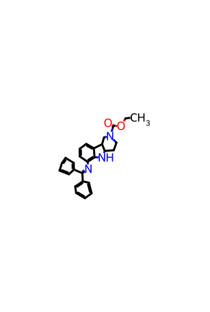 CCOC(=O)N1CCC2Nc3c(N=C(c4ccccc4)c4ccccc4)cccc3C2C1